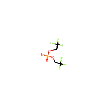 O=P(Br)(OCC(F)(F)F)OCC(F)(F)F